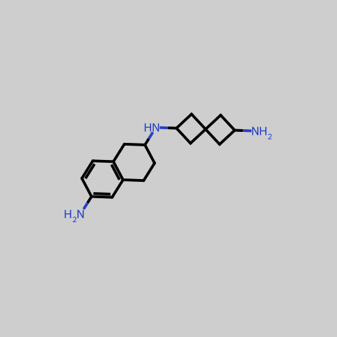 Nc1ccc2c(c1)CCC(NC1CC3(CC(N)C3)C1)C2